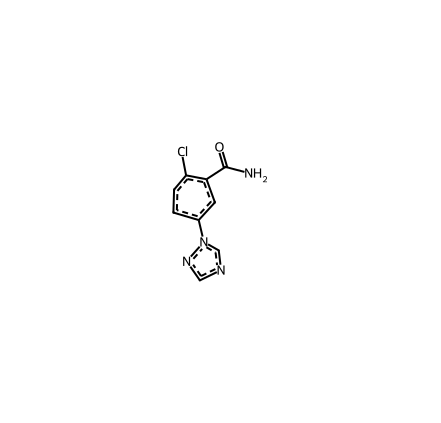 NC(=O)c1cc(-n2cncn2)ccc1Cl